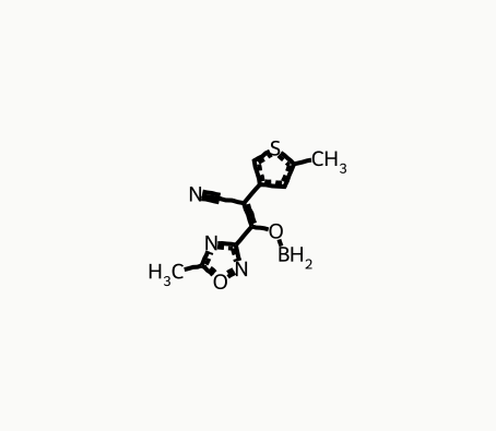 BOC(=C(C#N)c1csc(C)c1)c1noc(C)n1